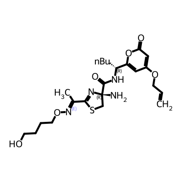 C=CCOc1cc([C@@H](CCCC)NC(=O)[C@]2(N)CSC(/C(C)=N/OCCCCO)=N2)oc(=O)c1